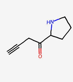 C#CCC(=O)C1CCCN1